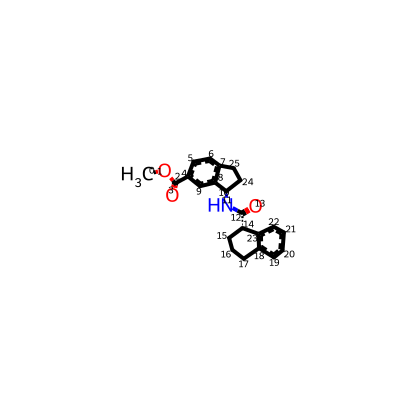 COC(=O)c1ccc2c(c1)[C@H](NC(=O)[C@H]1CCCc3ccccc31)CC2